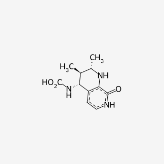 C[C@H]1[C@H](C)Nc2c(cc[nH]c2=O)[C@@H]1NC(=O)O